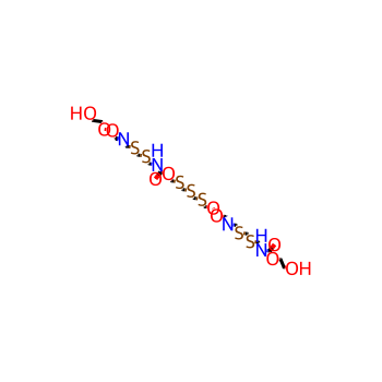 O=C(NCSCSC/N=C/OOCSCSCSCOC(=O)NCSCSC/N=C/OOCCO)OCCO